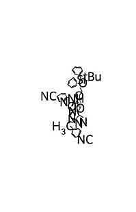 [C-]#[N+]c1ccc(C)c(-n2ncc3c(O[C@@H](COCCO[Si](c4ccccc4)(c4ccccc4)C(C)(C)C)C(=O)Nc4ccc(C#N)cn4)ncnc32)c1